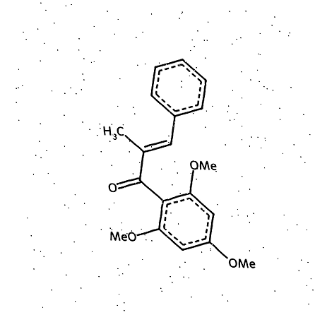 COc1cc(OC)c(C(=O)C(C)=Cc2ccccc2)c(OC)c1